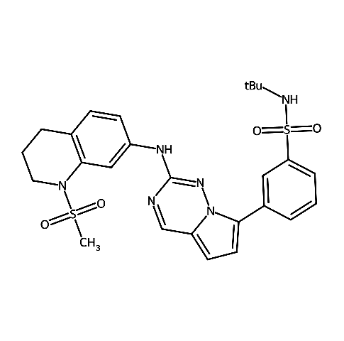 CC(C)(C)NS(=O)(=O)c1cccc(-c2ccc3cnc(Nc4ccc5c(c4)N(S(C)(=O)=O)CCC5)nn23)c1